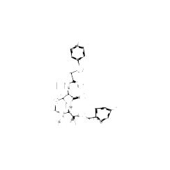 CC(=O)N1CSC2C(NC(=O)COc3ccccc3)C(=O)N2C1C(=O)OCc1ccccc1